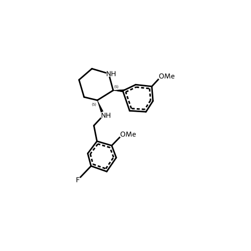 COc1cccc([C@@H]2NCCC[C@@H]2NCc2cc(F)ccc2OC)c1